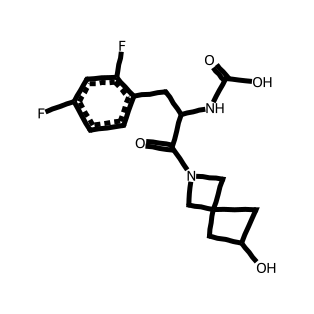 O=C(O)NC(Cc1ccc(F)cc1F)C(=O)N1CC2(CC(O)C2)C1